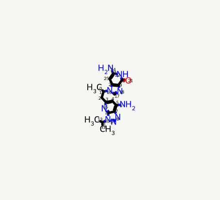 CC(Cc1cc(N)c2nnn(C(C)C)c2n1)n1cnc2c(=O)[nH]c(N)cc21